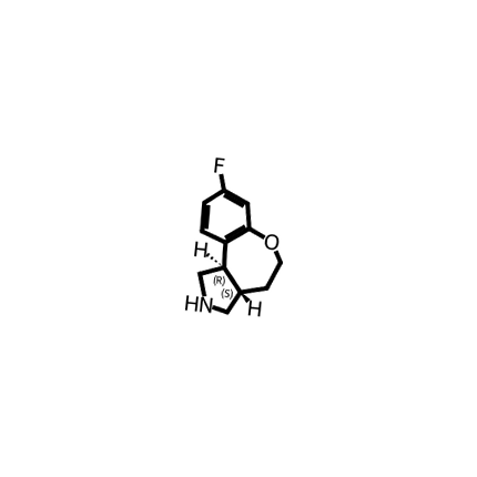 Fc1ccc2c(c1)OCC[C@@H]1CNC[C@@H]21